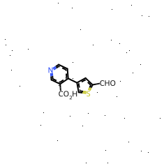 O=Cc1cc(-c2ccncc2C(=O)O)cs1